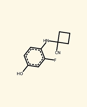 N#CC1(Nc2ccc(O)cc2F)CCC1